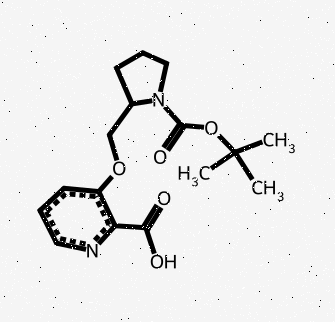 CC(C)(C)OC(=O)N1CCCC1COc1cccnc1C(=O)O